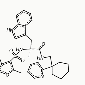 Cc1noc(C)c1S(=O)(=O)N[C@@](C)(Cc1c[nH]c2ccccc12)C(=O)NCC1(c2ccccn2)CCCCC1